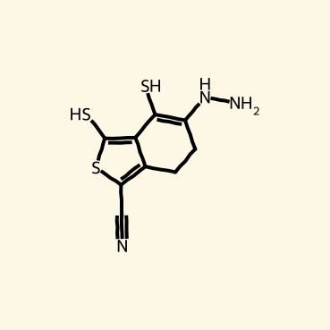 N#Cc1sc(S)c2c1CCC(NN)=C2S